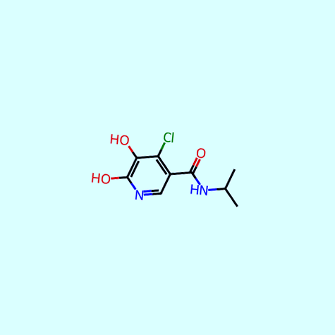 CC(C)NC(=O)c1cnc(O)c(O)c1Cl